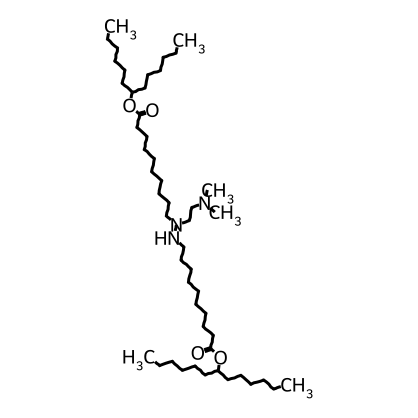 CCCCCCC(CCCCCC)OC(=O)CCCCCCCCCNN(CCCCCCCCCC(=O)OC(CCCCCC)CCCCCC)CCN(C)C